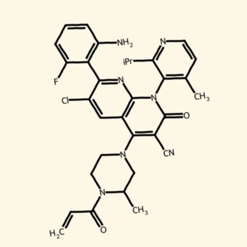 C=CC(=O)N1CCN(c2c(C#N)c(=O)n(-c3c(C)ccnc3C(C)C)c3nc(-c4c(N)cccc4F)c(Cl)cc23)CC1C